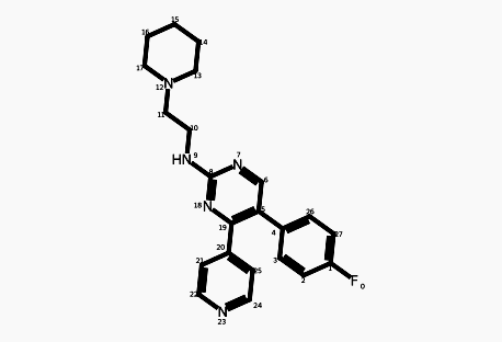 Fc1ccc(-c2cnc(NCCN3CCCCC3)nc2-c2ccncc2)cc1